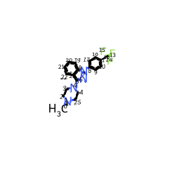 CN1CCN(c2nn(-c3ccc(C(F)(F)F)cc3)c3ccccc23)CC1